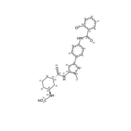 Cn1nc(-c2ccc(NC(=O)c3ccccc3Cl)cc2)cc1NC(=O)[C@H]1CCC[C@H](NC(=O)O)C1